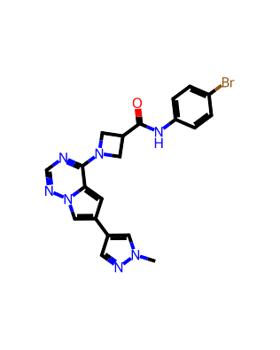 Cn1cc(-c2cc3c(N4CC(C(=O)Nc5ccc(Br)cc5)C4)ncnn3c2)cn1